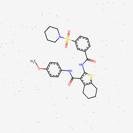 COc1ccc(NC(=O)c2c(NC(=O)c3cccc(S(=O)(=O)N4CCCCC4)c3)sc3c2CCCC3)cc1